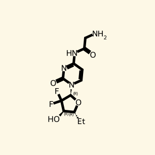 CC[C@H]1O[C@@H](n2ccc(NC(=O)CN)nc2=O)C(F)(F)[C@@H]1O